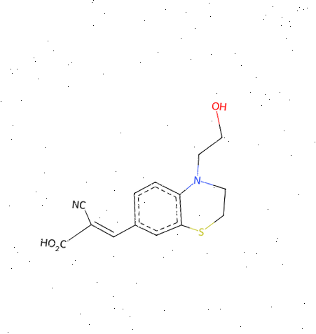 N#C/C(=C\c1ccc2c(c1)SCCN2CCO)C(=O)O